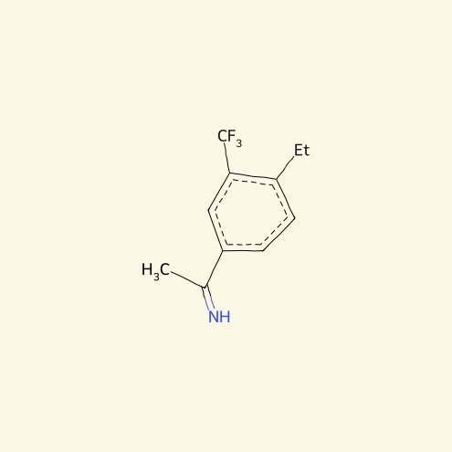 CCc1ccc(C(C)=N)cc1C(F)(F)F